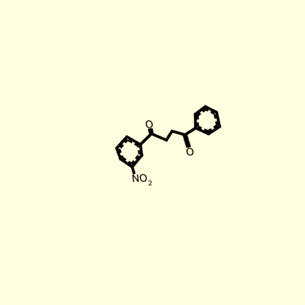 O=C(CCC(=O)c1cccc([N+](=O)[O-])c1)c1ccccc1